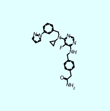 NC(=O)Cc1ccc(CNc2ncnc(N(Cc3cccc(-n4cccn4)c3)C3CC3)c2F)cc1